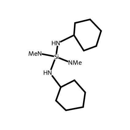 CN[Si](NC)(NC1CCCCC1)NC1CCCCC1